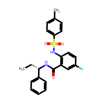 CC[C@H](NC(=O)c1cc(F)ccc1NS(=O)(=O)c1ccc(C)cc1)c1ccccc1